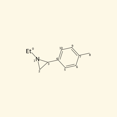 CCN1CC1c1ccc(C)cc1